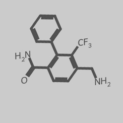 NCc1ccc(C(N)=O)c(-c2ccccc2)c1C(F)(F)F